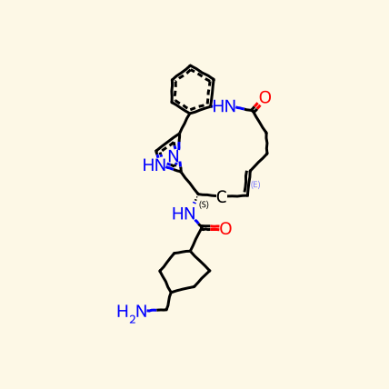 NCC1CCC(C(=O)N[C@H]2C/C=C/CCC(=O)Nc3ccccc3-c3c[nH]c2n3)CC1